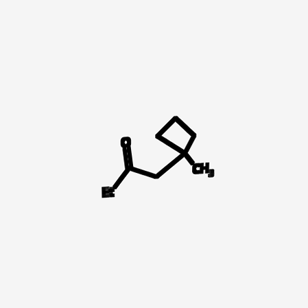 CCC(=O)CC1(C)CCC1